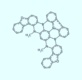 CN1c2cc3c4c5c2B(c2ccc6oc7ccccc7c6c21)c1cccc2c6cccc(c6n-5c12)B4c1ccc2oc4ccccc4c2c1N3C